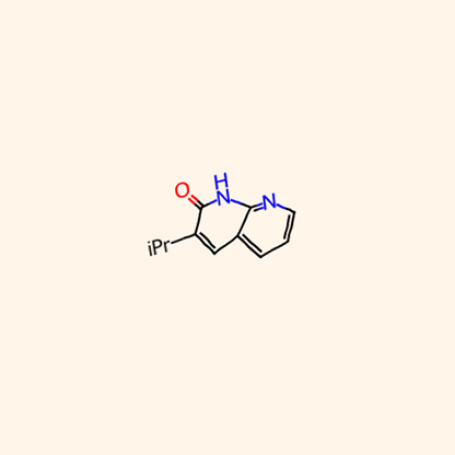 CC(C)c1cc2cccnc2[nH]c1=O